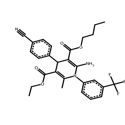 CCCCOC(=O)C1=C(N)N(c2cccc(C(F)(F)F)c2)C(C)=C(C(=O)OCC)C1c1ccc(C#N)cc1